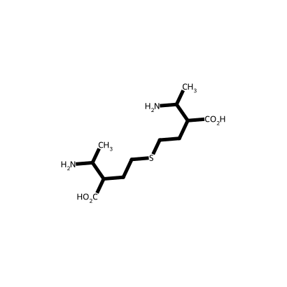 CC(N)C(CCSCCC(C(=O)O)C(C)N)C(=O)O